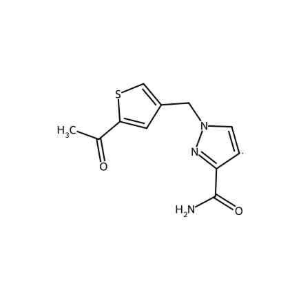 CC(=O)c1cc(Cn2c[c]c(C(N)=O)n2)cs1